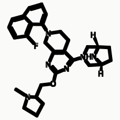 CN1CCCC1COc1nc2c(c(N3C[C@H]4CC[C@@H](C3)N4)n1)CCN(c1cccc3cccc(F)c13)C2